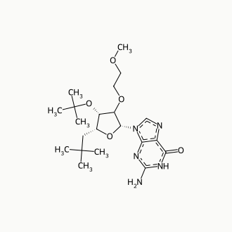 COCCOC1[C@@H](OC(C)(C)C)[C@@H](CC(C)(C)C)O[C@H]1n1cnc2c(=O)[nH]c(N)nc21